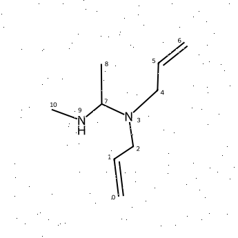 C=CCN(CC=C)C(C)NC